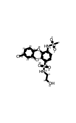 CS(=O)(=O)Nc1ccc(S(=O)(=O)NCCO)cc1Oc1ccc(Cl)cc1Cl